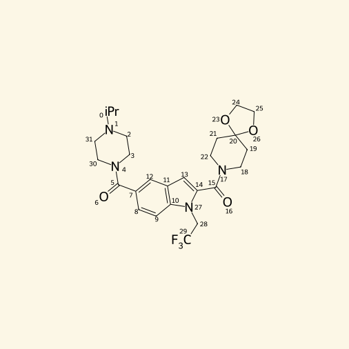 CC(C)N1CCN(C(=O)c2ccc3c(c2)cc(C(=O)N2CCC4(CC2)OCCO4)n3CC(F)(F)F)CC1